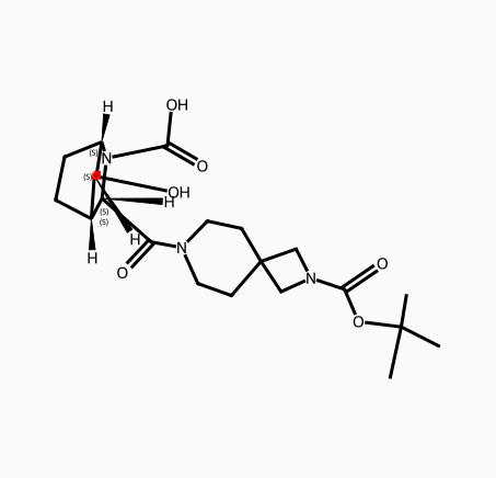 CC(C)(C)OC(=O)N1CC2(CCN(C(=O)[C@@H]3[C@@H]4CC[C@@H](C[C@@H]4O)N3C(=O)O)CC2)C1